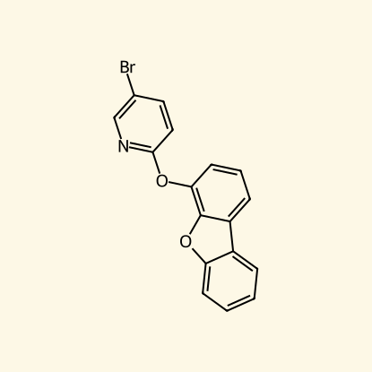 Brc1ccc(Oc2cccc3c2oc2ccccc23)nc1